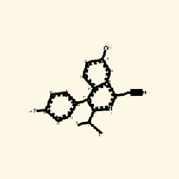 CC(C)c1nc(C#N)c2cc(O)ccc2c1-c1ccc(F)cc1